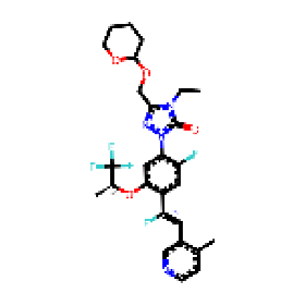 CCn1c(COC2CCCCO2)nn(-c2cc(O[C@@H](C)C(F)(F)F)c(/C(F)=C/c3cnccc3C)cc2F)c1=O